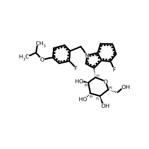 CC(C)Oc1ccc(Cn2cc([C@@H]3O[C@H](CO)[C@@H](O)[C@H](O)[C@H]3O)c3c(F)cccc32)c(F)c1